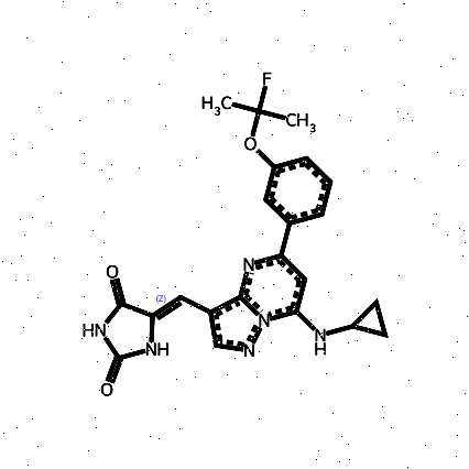 CC(C)(F)Oc1cccc(-c2cc(NC3CC3)n3ncc(/C=C4\NC(=O)NC4=O)c3n2)c1